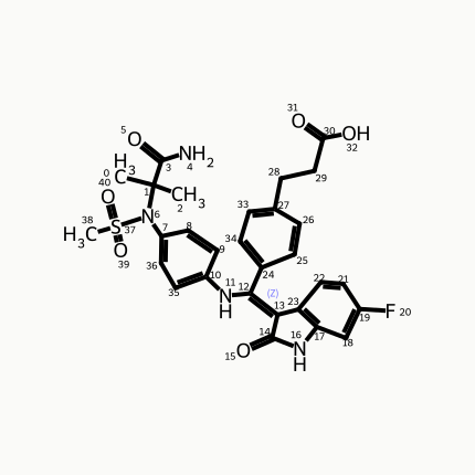 CC(C)(C(N)=O)N(c1ccc(N/C(=C2\C(=O)Nc3cc(F)ccc32)c2ccc(CCC(=O)O)cc2)cc1)S(C)(=O)=O